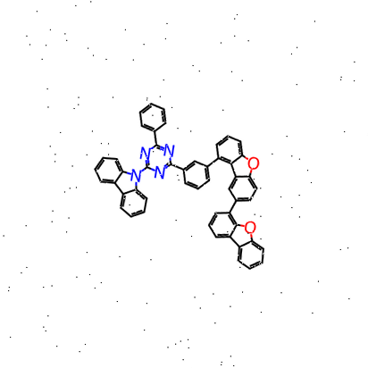 c1ccc(-c2nc(-c3cccc(-c4cccc5oc6ccc(-c7cccc8c7oc7ccccc78)cc6c45)c3)nc(-n3c4ccccc4c4ccccc43)n2)cc1